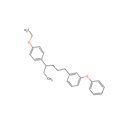 CCOc1ccc(C(CC)CCCc2cccc(Oc3ccccc3)c2)cc1